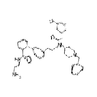 NCCNC(=O)c1ccccc1-c1cccc(CCN(C(=O)Cc2cccc(Cl)c2)C2CCN(Cc3ccccc3)CC2)c1